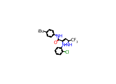 CCC(C)c1ccc(NC(=O)C2=CC(C(F)(F)F)NN2c2ccccc2Cl)cc1